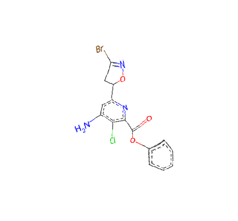 Nc1cc(C2CC(Br)=NO2)nc(C(=O)Oc2ccccc2)c1Cl